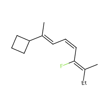 CC/C(C)=C(F)/C=C\C=C(/C)C1CCC1